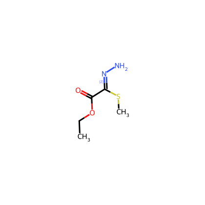 CCOC(=O)/C(=N/N)SC